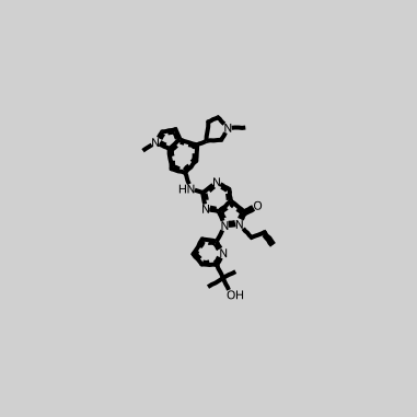 C=CCn1c(=O)c2cnc(Nc3cc(C4CCN(C)C4)c4ccn(C)c4c3)nc2n1-c1cccc(C(C)(C)O)n1